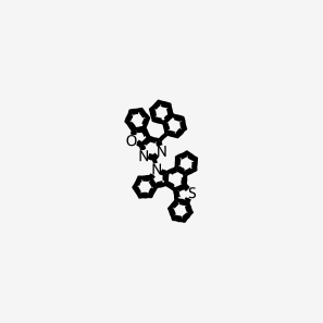 c1ccc2c(-c3nc(-n4c5ccccc5c5c6c7ccccc7sc6c6ccccc6c54)nc4oc5ccccc5c34)cccc2c1